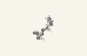 NC(=O)C(CCNc1cccc2c1C(=O)N(C1CCC(=O)NC1=O)C2=O)CCc1cccc(-c2ccc3nc(-c4cccnc4N)n(-c4ccc(C5(N)CCC5)cc4)c3n2)c1